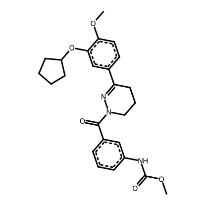 COC(=O)Nc1cccc(C(=O)N2CCCC(c3ccc(OC)c(OC4CCCC4)c3)=N2)c1